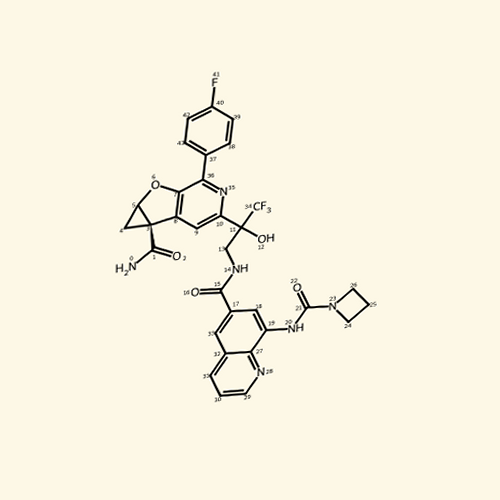 NC(=O)[C@@]12CC1Oc1c2cc(C(O)(CNC(=O)c2cc(NC(=O)N3CCC3)c3ncccc3c2)C(F)(F)F)nc1-c1ccc(F)cc1